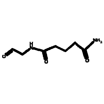 NC(=O)CCCC(=O)NCC=O